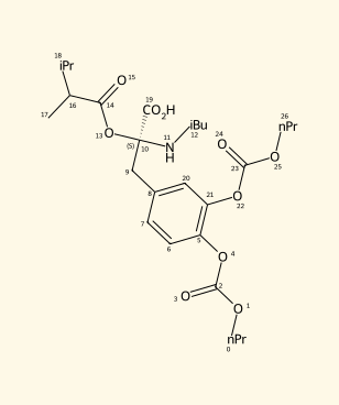 CCCOC(=O)Oc1ccc(C[C@](NC(C)CC)(OC(=O)C(C)C(C)C)C(=O)O)cc1OC(=O)OCCC